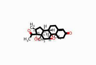 CC(=O)[C@@]1(O)[C@@H](C)C[C@H]2[C@@H]3CCC4=CC(=O)CC[C@]4(C)[C@@]34O[C@H]4C[C@@]21C